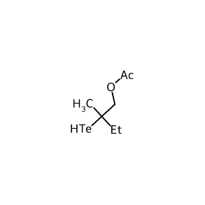 CCC(C)([TeH])COC(C)=O